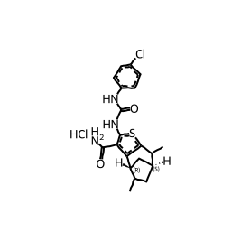 CC1c2sc(NC(=O)Nc3ccc(Cl)cc3)c(C(N)=O)c2[C@@H]2C[C@@H]1CC2C.Cl